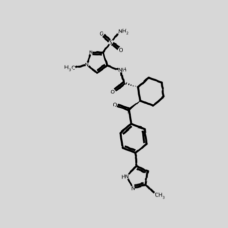 Cc1cc(-c2ccc(C(=O)[C@@H]3CCCC[C@H]3C(=O)Nc3cn(C)nc3S(N)(=O)=O)cc2)[nH]n1